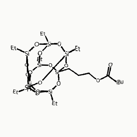 CCC(C)C(=O)OCCC[Si]12O[Si]3(CC)O[SiH]4O[Si]5(CC)O[Si](CC)(O3)O[Si](CC)(O[Si](CC)(O5)O[Si](CC)(O4)O1)O2